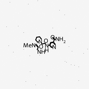 CN/C(=C\C=N)[C@@H]1CCCCN1C(=O)C(=O)Nc1cncc(C(N)=O)c1